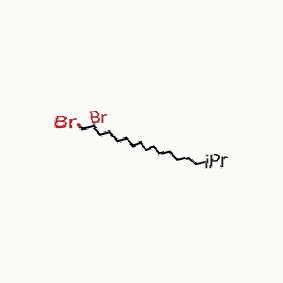 CC(C)CCCCCCCCCCCCCC(Br)CBr